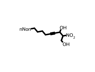 CCCCCCCCCCCCCC#CC(O)C(CO)[N+](=O)[O-]